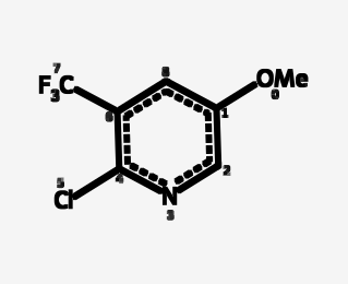 COc1cnc(Cl)c(C(F)(F)F)c1